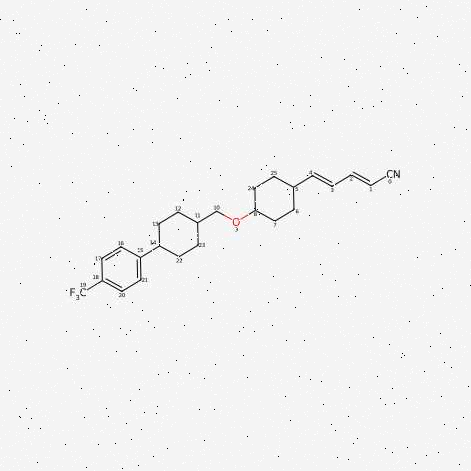 N#CC=CC=CC1CCC(OCC2CCC(c3ccc(C(F)(F)F)cc3)CC2)CC1